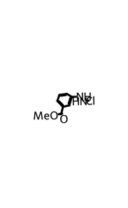 COC(=O)c1cccc(NNCl)c1